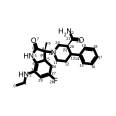 CCNC1=C2NC(=O)[C@](C)(N3CCC(c4ccccc4)[C@H](C(N)=O)C3)C2CC(F)=C1